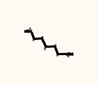 CCCCCCCCCC[P]CCCCCCCCCC